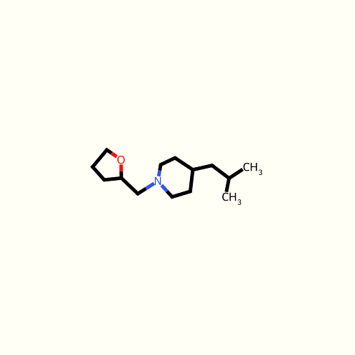 CC(C)CC1CCN(CC2CCCO2)CC1